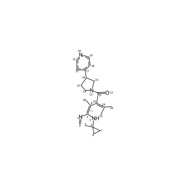 C=N/C(NC1(C)CC1)=C(\C)C(C(=O)N1CCC(c2ccncc2)C1)=C(C)C